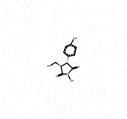 CC(C)C[C@@H]1C(=O)N(O)C(=O)[C@H]1c1ccc(O)cc1